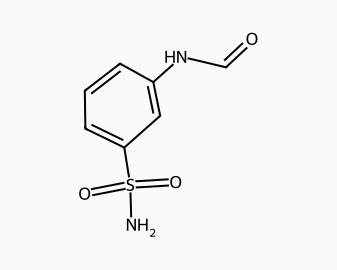 NS(=O)(=O)c1cccc(NC=O)c1